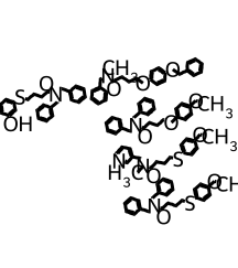 CN(Cc1ccccc1)C(=O)CCCOc1ccc(OCc2ccccc2)cc1.COc1ccc(OCCCC(=O)N(Cc2ccccc2)Cc2ccccc2)cc1.COc1ccc(SCCCC(=O)N(C)Cc2cccnc2)cc1.COc1ccc(SCCCC(=O)N(Cc2ccccc2)Cc2ccccc2)cc1.O=C(CCCSc1cccc(O)c1)N(Cc1ccccc1)Cc1ccccc1